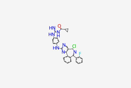 N=C(NC(=O)C1CC1)Nc1ccc(Nc2ncc3c(n2)-c2ccccc2C(c2ccccc2F)=NC3Cl)cc1